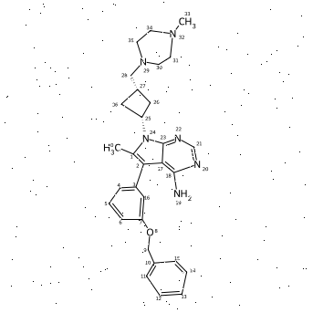 Cc1c(-c2cccc(OCc3ccccc3)c2)c2c(N)ncnc2n1[C@H]1C[C@@H](CN2CCN(C)CC2)C1